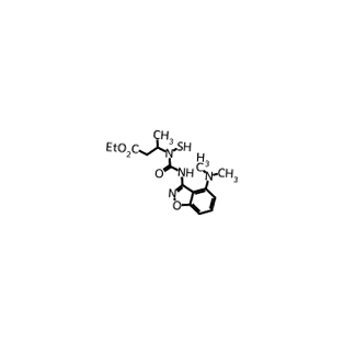 CCOC(=O)CC(C)N(S)C(=O)Nc1noc2cccc(N(C)C)c12